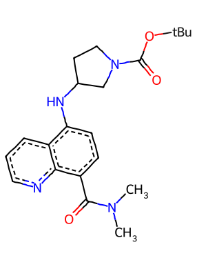 CN(C)C(=O)c1ccc(NC2CCN(C(=O)OC(C)(C)C)C2)c2cccnc12